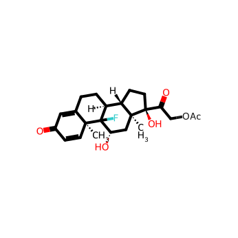 CC(=O)OCC(=O)[C@@]1(O)CC[C@H]2[C@@H]3CCC4=CC(=O)C=C[C@]4(C)C3(F)[C@@H](O)C[C@@]21C